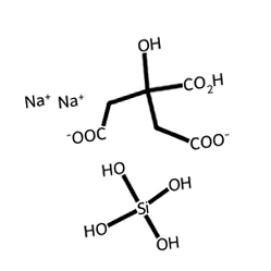 O=C([O-])CC(O)(CC(=O)[O-])C(=O)O.O[Si](O)(O)O.[Na+].[Na+]